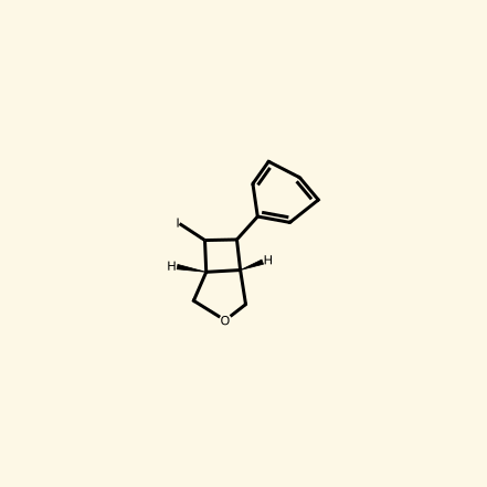 IC1C(c2ccccc2)[C@@H]2COC[C@H]12